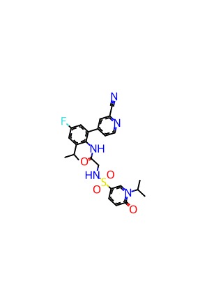 CC(C)c1cc(F)cc(-c2ccnc(C#N)c2)c1NC(=O)CNS(=O)(=O)c1ccc(=O)n(C(C)C)c1